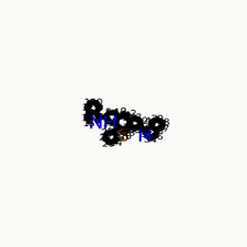 CC1(C)c2ccc(C3=c4ccccc4=CCN3)cc2C2c3ccccc3SC2(C)c2cc(-c3nccc4ccccc34)ccc21